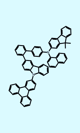 CC1(C)c2ccccc2-c2ccc(N(c3ccc(-c4ccccc4-c4ccc5c(c4)c4ccccc4n5-c4ccc5c6ccccc6c6ccccc6c5c4)cc3)c3cccc4ccccc34)cc21